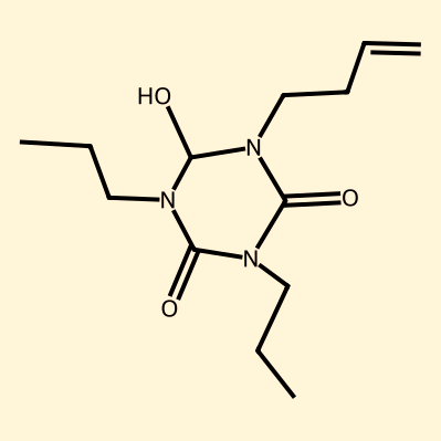 C=CCCN1C(=O)N(CCC)C(=O)N(CCC)C1O